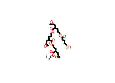 COC(=O)C(CCCOC(=O)C(CCCOC(=O)C(CCCOC(=O)CCCCO)CC1CO1)CC1CO1)CC1CO1